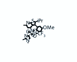 COc1cccc(-c2c(C(C)C)sc3nc(C)cc(N(OC(=O)C(F)(F)F)S(=O)(=O)c4cn(C)c(C)n4)c23)c1